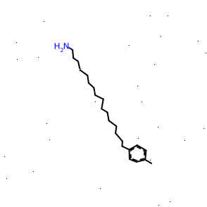 Cc1ccc(CCCCCCCCCCCCCCCCN)cc1